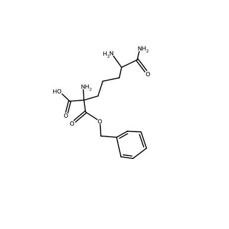 NC(=O)C(N)CCCC(N)(C(=O)O)C(=O)OCc1ccccc1